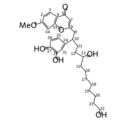 COc1ccc2c(=O)cc(CC(CCC(O)CCCCCCCCO)c3ccc(O)c(O)c3)oc2c1